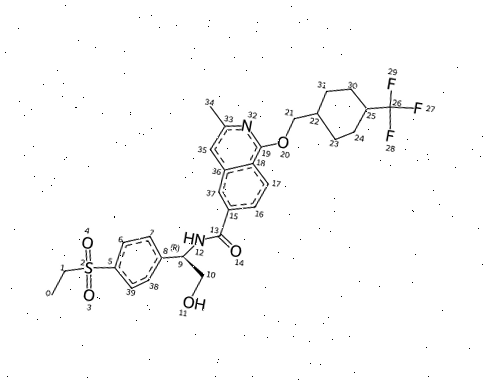 CCS(=O)(=O)c1ccc([C@H](CO)NC(=O)c2ccc3c(OCC4CCC(C(F)(F)F)CC4)nc(C)cc3c2)cc1